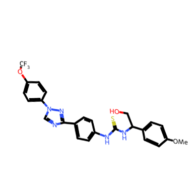 COc1ccc(C(CO)NC(=S)Nc2ccc(-c3ncn(-c4ccc(OC(F)(F)F)cc4)n3)cc2)cc1